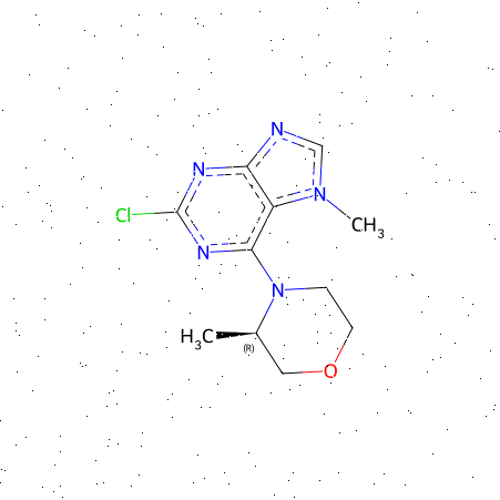 C[C@@H]1COCCN1c1nc(Cl)nc2ncn(C)c12